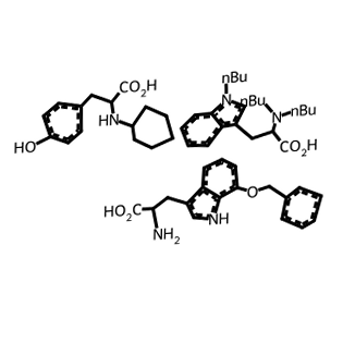 CCCCN(CCCC)C(Cc1cn(CCCC)c2ccccc12)C(=O)O.NC(Cc1c[nH]c2c(OCc3ccccc3)cccc12)C(=O)O.O=C(O)C(Cc1ccc(O)cc1)NC1CCCCC1